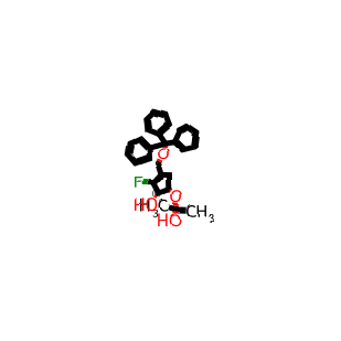 CC(C)(O)OC1CC(COC(c2ccccc2)(c2ccccc2)c2ccccc2)=C(F)[C@@H]1O